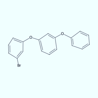 Brc1cccc(Oc2cccc(Oc3ccccc3)c2)c1